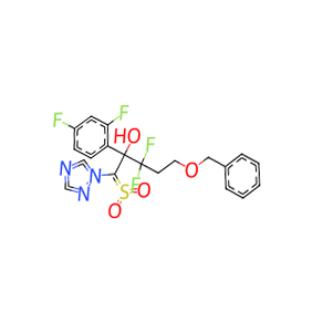 O=S(=O)=C(n1cncn1)C(O)(c1ccc(F)cc1F)C(F)(F)CCOCc1ccccc1